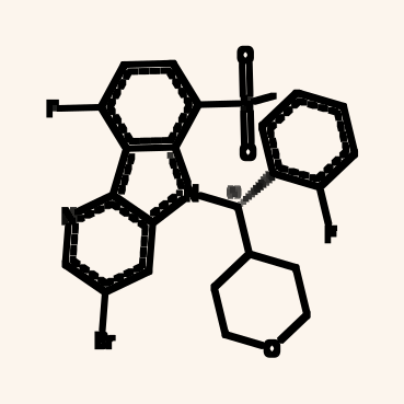 CS(=O)(=O)c1ccc(F)c2c3ncc(Br)cc3n([C@H](c3ccccc3F)C3CCOCC3)c12